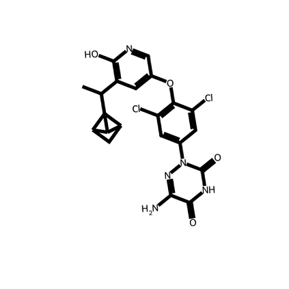 CC(c1cc(Oc2c(Cl)cc(-n3nc(N)c(=O)[nH]c3=O)cc2Cl)cnc1O)C1C2CC1C2